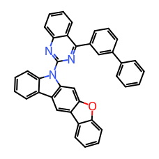 c1ccc(-c2cccc(-c3nc(-n4c5ccccc5c5cc6c(cc54)oc4ccccc46)nc4ccccc34)c2)cc1